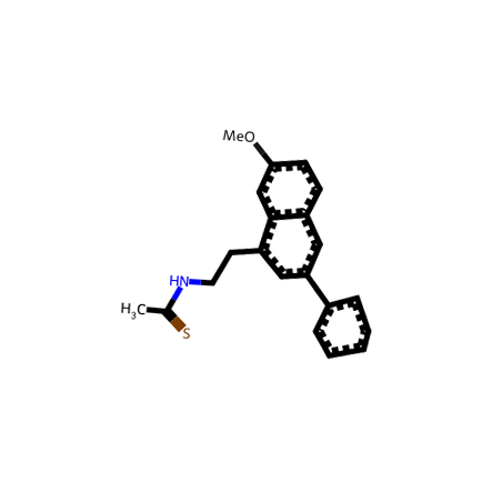 COc1ccc2cc(-c3ccccc3)cc(CCNC(C)=S)c2c1